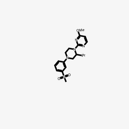 COc1ccnc(N2CCN(c3cccc(S(C)(=O)=O)c3)CC2C(C)C)n1